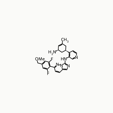 COCc1cc(F)c(-c2ccc3cnc(Nc4cnccc4[C@@H]4CC(C)=C[C@H](N)C4)n3n2)c(F)c1